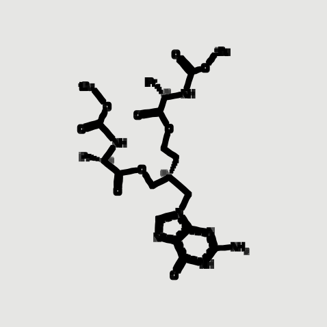 CC(C)[C@H](NC(=O)OC(C)(C)C)C(=O)OCC[C@@H](COC(=O)[C@@H](NC(=O)OC(C)(C)C)C(C)C)Cn1cnc2c(=O)[nH]c(N)nc21